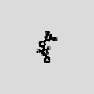 N#Cc1cc(-c2cccc(-c3c(Cl)nc(-c4ccccc4)nc3Cl)c2)cc(C#N)n1